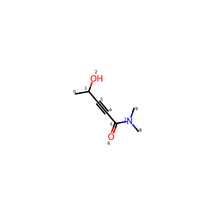 CC(O)C#CC(=O)N(C)C